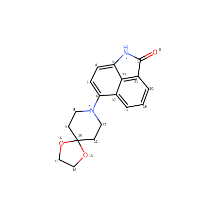 O=C1Nc2ccc(N3CCC4(CC3)OCCO4)c3cccc1c23